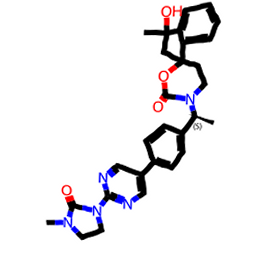 C[C@@H](c1ccc(-c2cnc(N3CCN(C)C3=O)nc2)cc1)N1CCC(CC(C)(C)O)(c2ccccc2)OC1=O